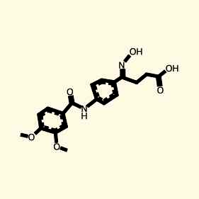 COc1ccc(C(=O)Nc2ccc(C(CCC(=O)O)=NO)cc2)cc1OC